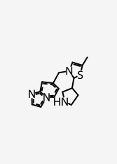 CC1=CN(Cc2ccn3ccnc3c2)C(C2CCNC2)S1